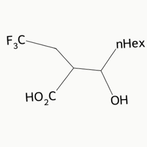 CCCCCCC(O)C(CC(F)(F)F)C(=O)O